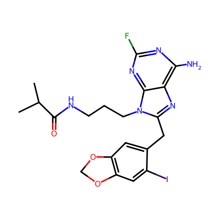 CC(C)C(=O)NCCCn1c(Cc2cc3c(cc2I)OCO3)nc2c(N)nc(F)nc21